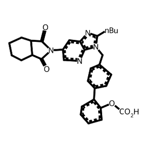 CCCCc1nc2cc(N3C(=O)C4CCCCC4C3=O)cnc2n1Cc1ccc(-c2ccccc2OC(=O)O)cc1